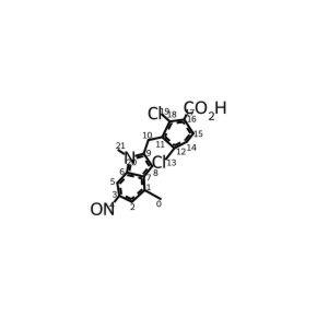 Cc1cc(N=O)cc2c1cc(Cc1c(Cl)ccc(C(=O)O)c1Cl)n2C